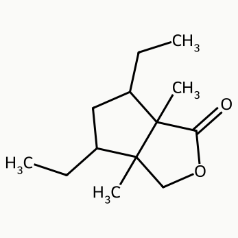 CCC1CC(CC)C2(C)C(=O)OCC12C